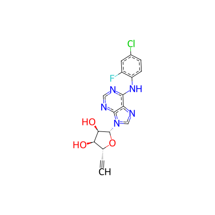 C#C[C@H]1O[C@@H](n2cnc3c(Nc4ccc(Cl)cc4F)ncnc32)[C@H](O)[C@@H]1O